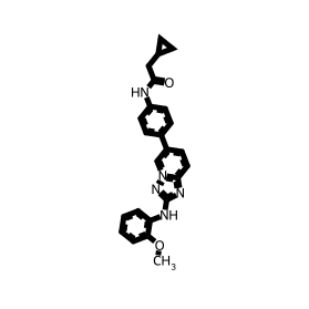 COc1ccccc1Nc1nc2ccc(-c3ccc(NC(=O)CC4CC4)cc3)cn2n1